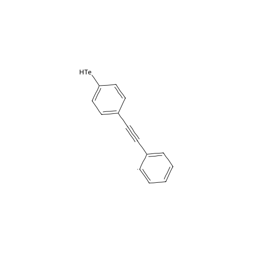 [TeH]c1ccc(C#Cc2[c]cccc2)cc1